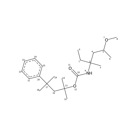 CCC(C)(CC(C)OC)NC(=O)OC(C)(C)CC(C)(C)c1ccccc1